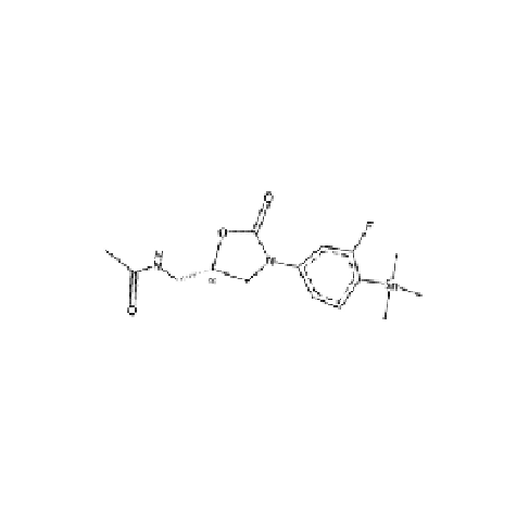 CC(=O)NC[C@H]1CN(c2cc[c]([Sn]([CH3])([CH3])[CH3])c(F)c2)C(=O)O1